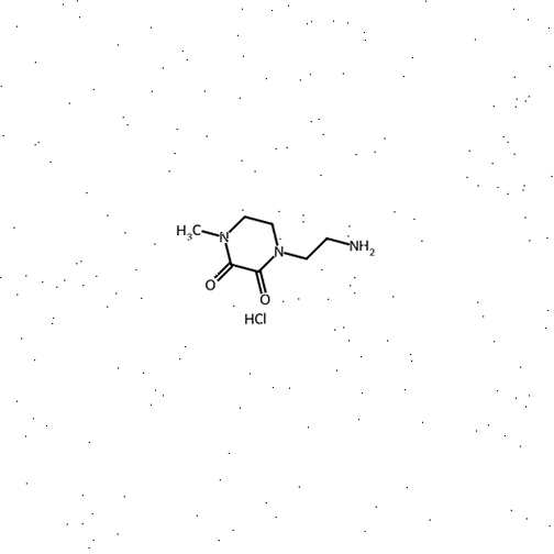 CN1CCN(CCN)C(=O)C1=O.Cl